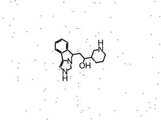 OC(CC1c2ccccc2C2=CNCN21)C1CCCNC1